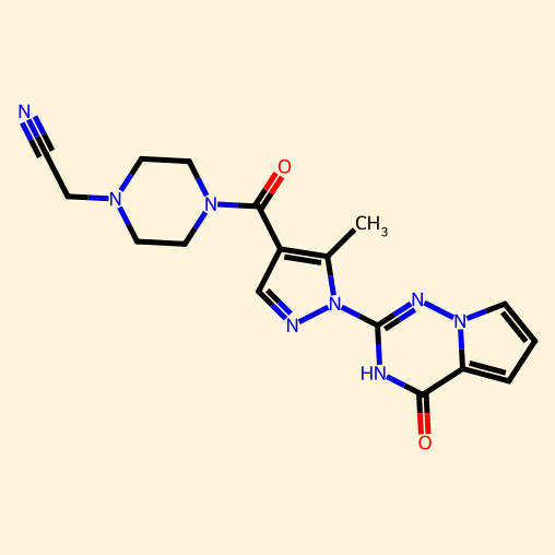 Cc1c(C(=O)N2CCN(CC#N)CC2)cnn1-c1nn2cccc2c(=O)[nH]1